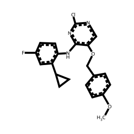 COc1ccc(COc2cnc(Cl)nc2Nc2ccc(F)cc2C2CC2)cc1